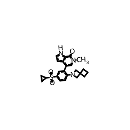 Cn1cc(-c2cc(S(=O)(=O)C3CC3)ccc2N2CC3(CCC3)C2)c2cc[nH]c2c1=O